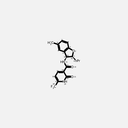 CCC[C@@H]1Oc2ccc(C)cc2[C@@H]1NC(=O)c1ccc(C(F)(F)F)[nH]c1=O